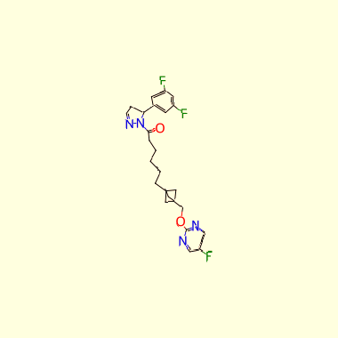 O=C(CCCCCC12CC(COc3ncc(F)cn3)(C1)C2)N1N=CCC1c1cc(F)cc(F)c1